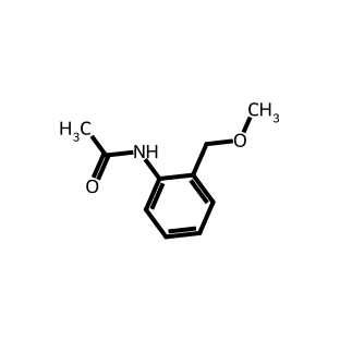 COCc1ccccc1NC(C)=O